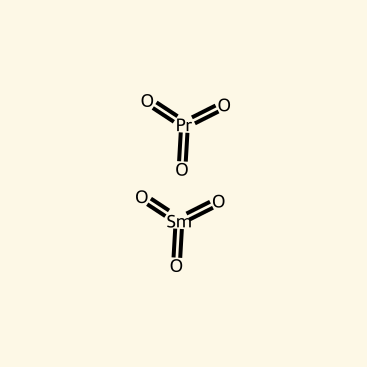 [O]=[Pr](=[O])=[O].[O]=[Sm](=[O])=[O]